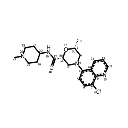 C[C@@H]1CN(c2ccc(Cl)c3ncccc23)C[C@H](C(=O)NC2CCN(C)CC2)O1